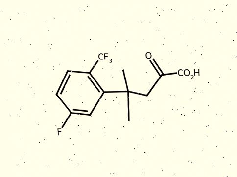 CC(C)(CC(=O)C(=O)O)c1cc(F)ccc1C(F)(F)F